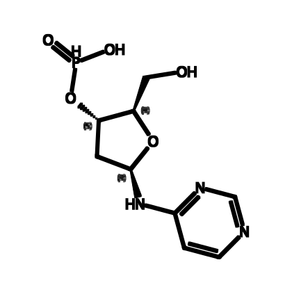 O=[PH](O)O[C@H]1C[C@H](Nc2ccncn2)O[C@@H]1CO